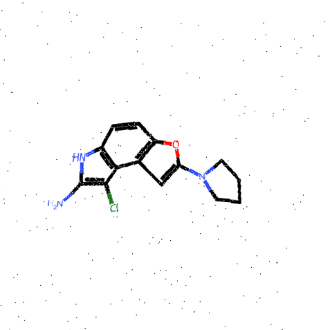 Nc1[nH]c2ccc3oc(N4CCCC4)cc3c2c1Cl